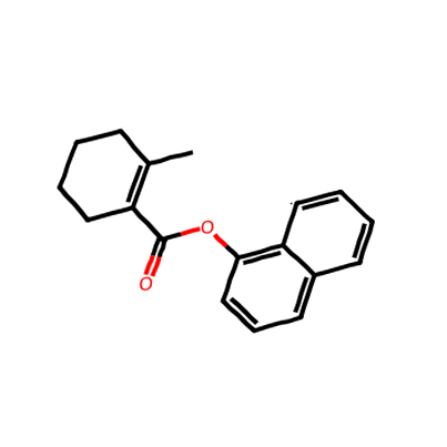 CC1=C(C(=O)Oc2cccc3ccc[c]c23)CCCC1